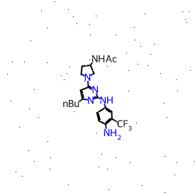 CCCCc1cc(N2CCC(NC(C)=O)C2)nc(Nc2ccc(N)c(C(F)(F)F)c2)n1